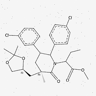 CCC(C(=O)OC)N1C(=O)[C@@](C)(C[C@H]2COC(C)(C)O2)CC(c2cccc(Cl)c2)C1c1ccc(Cl)cc1